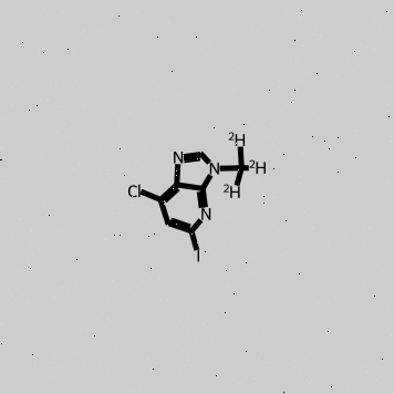 [2H]C([2H])([2H])n1cnc2c(Cl)cc(I)nc21